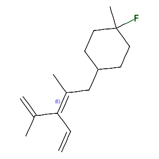 C=C/C(C(=C)C)=C(/C)CC1CCC(C)(F)CC1